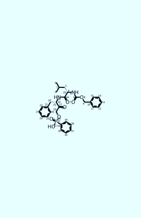 CC(C)C[C@H](NC(=O)OCc1ccccc1)C(=O)N[C@@H](Cc1ccccc1)C(=O)COP(=O)(O)c1ccccc1